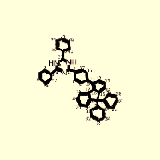 c1ccc(C2=NC(c3ccc(-c4cccc5c4-c4ccccc4C5(c4ccccc4)c4ccccc4)cc3)NC(c3ccccc3)N2)cc1